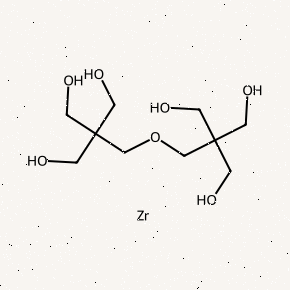 OCC(CO)(CO)COCC(CO)(CO)CO.[Zr]